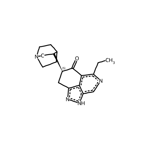 CCc1ncc2[nH]nc3c2c1C(=O)[C@H](C1CN2CCC1CC2)C3